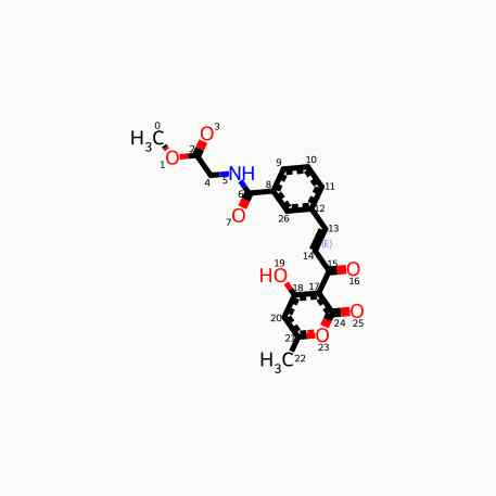 COC(=O)CNC(=O)c1cccc(/C=C/C(=O)c2c(O)cc(C)oc2=O)c1